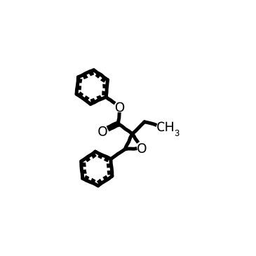 CCC1(C(=O)Oc2ccccc2)OC1c1ccccc1